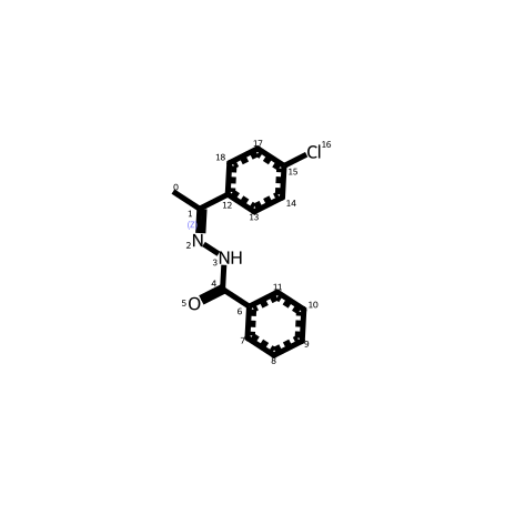 C/C(=N/NC(=O)c1ccccc1)c1ccc(Cl)cc1